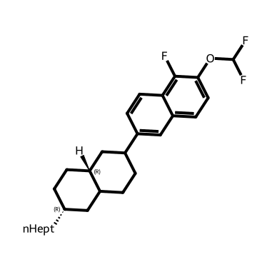 CCCCCCC[C@@H]1CC[C@@H]2CC(c3ccc4c(F)c(OC(F)F)ccc4c3)CCC2C1